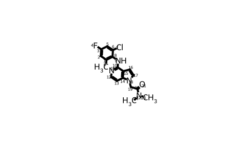 Cc1cc(F)cc(Cl)c1Nc1nccc2c1ccn2CC(=O)N(C)C